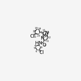 O=C(Nc1cccc(Cl)c1)c1ccn2ncc(-c3cccc(Cl)c3)c2n1